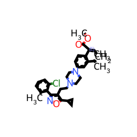 C=C(C)c1cc(N2CCN(CCc3c(-c4c(C)cccc4Cl)noc3C3CC3)CC2)ccc1/C(=C\C)C(=O)OC